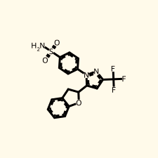 NS(=O)(=O)c1ccc(-n2nc(C(F)(F)F)cc2C2Cc3ccccc3O2)cc1